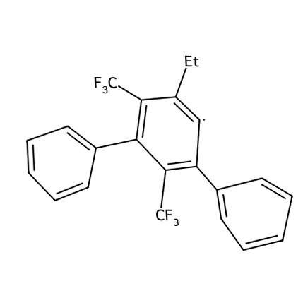 CCc1[c]c(-c2ccccc2)c(C(F)(F)F)c(-c2ccccc2)c1C(F)(F)F